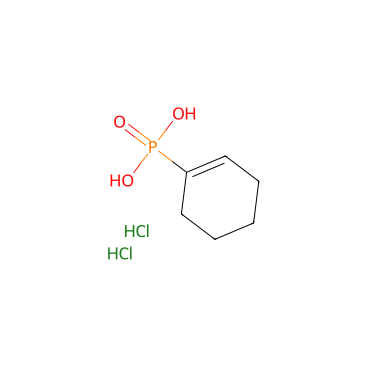 Cl.Cl.O=P(O)(O)C1=CCCCC1